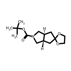 CC(C)(C)OC(=O)N1C[C@H]2CC3(C[C@@H]2C1)OCCO3